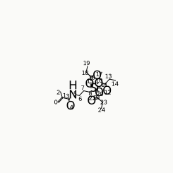 C=C(C)C(=O)NCCC[Si](OC(=O)CC)(OC(=O)CC)OC(=O)CC